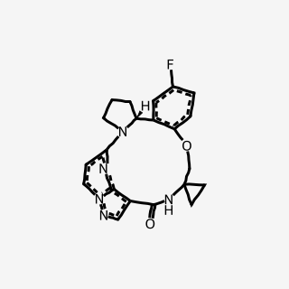 O=C1NC2(CC2)COc2ccc(F)cc2[C@H]2CCCN2c2ccn3ncc1c3n2